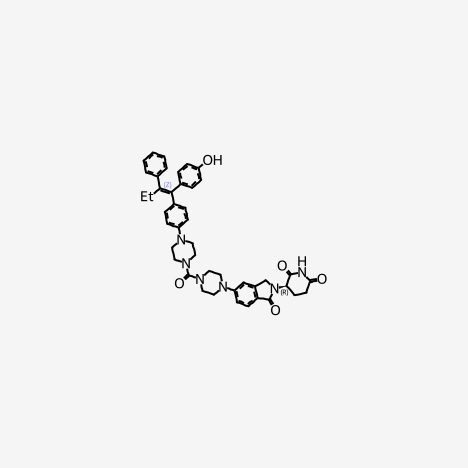 CC/C(=C(/c1ccc(O)cc1)c1ccc(N2CCN(C(=O)N3CCN(c4ccc5c(c4)CN([C@@H]4CCC(=O)NC4=O)C5=O)CC3)CC2)cc1)c1ccccc1